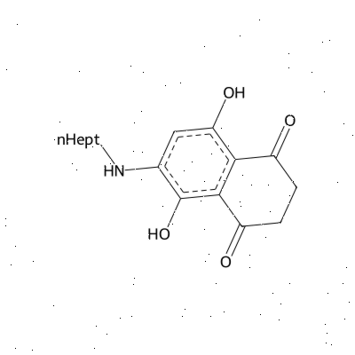 CCCCCCCNc1cc(O)c2c(c1O)C(=O)CCC2=O